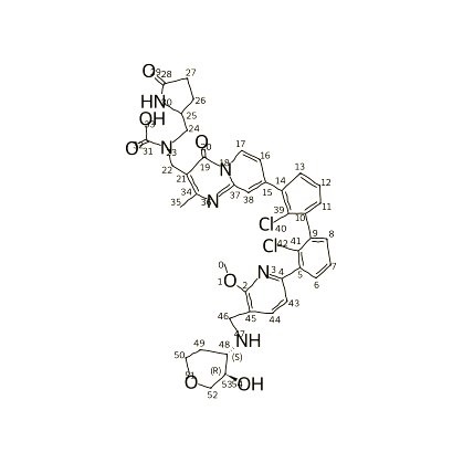 COc1nc(-c2cccc(-c3cccc(-c4ccn5c(=O)c(CN(CC6CCC(=O)N6)C(=O)O)c(C)nc5c4)c3Cl)c2Cl)ccc1CN[C@H]1CCOC[C@@H]1O